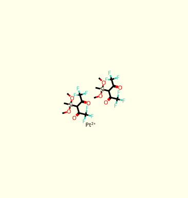 CO[Si](C)(OC)C(C(=O)C(F)(F)F)C(=O)C(F)(F)F.CO[Si](C)(OC)C(C(=O)C(F)(F)F)C(=O)C(F)(F)F.[Pt+2]